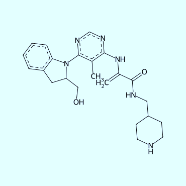 C=C(Nc1ncnc(N2c3ccccc3CC2CO)c1C)C(=O)NCC1CCNCC1